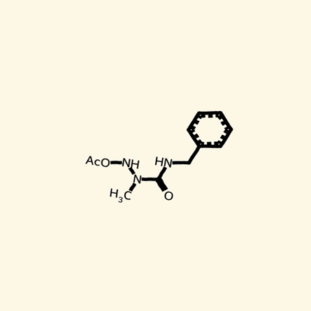 CC(=O)ONN(C)C(=O)NCc1ccccc1